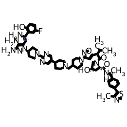 Cc1ncsc1-c1ccc([C@H](C)NC(=O)[C@@H]2C[C@@H](O)CN2C(=O)C(c2cc(N3CCC(CN4CCC(c5cnc(N6CCC(n7nc(N)c(N)c7/C=C(\N)c7cc(F)ccc7O)CC6)nc5)CC4)CC3)no2)C(C)C)cc1